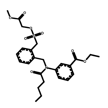 CCCCC(=O)N(Cc1ccccc1CS(=O)(=O)OCC(=O)OC)c1cccc(C(=O)OCC)c1